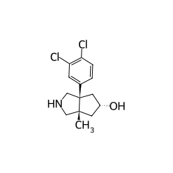 C[C@@]12CNC[C@]1(c1ccc(Cl)c(Cl)c1)C[C@H](O)C2